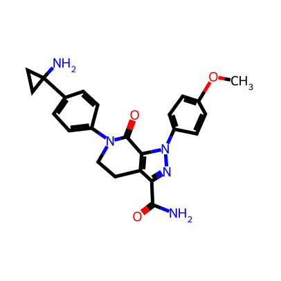 COc1ccc(-n2nc(C(N)=O)c3c2C(=O)N(c2ccc(C4(N)CC4)cc2)CC3)cc1